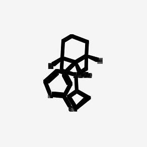 CO[C@]1(c2ccnc(C#N)c2)[C@@H]2CCC[C@H]1CN(C13CC(C1)C3)C2